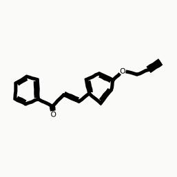 C#CCOc1ccc(C=CC(=O)c2ccccc2)cc1